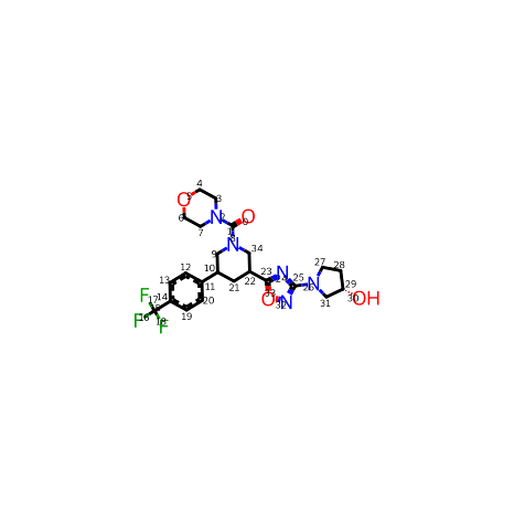 O=C(N1CCOCC1)N1CC(c2ccc(C(F)(F)F)cc2)CC(c2nc(N3CC[C@H](O)C3)no2)C1